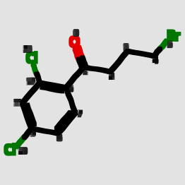 O=C(CCCBr)c1ccc(Cl)cc1Cl